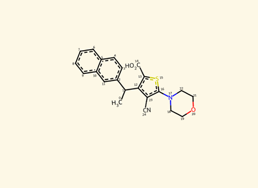 CC(c1ccc2ccccc2c1)c1c(C(=O)O)sc(N2CCOCC2)c1C#N